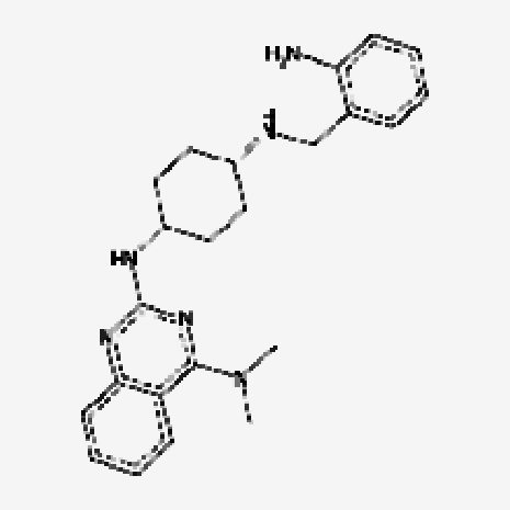 CN(C)c1nc(N[C@H]2CC[C@@H](NCc3ccccc3N)CC2)nc2ccccc12